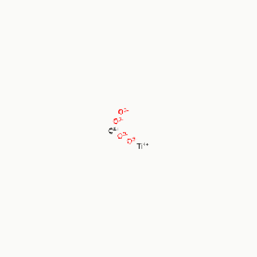 [C+4].[O-2].[O-2].[O-2].[O-2].[Ti+4]